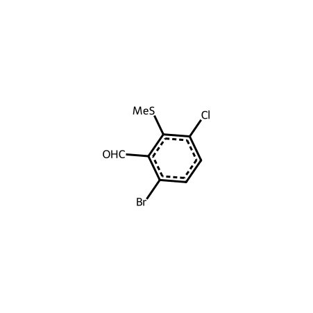 CSc1c(Cl)ccc(Br)c1C=O